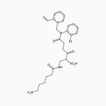 C=Cc1ccccc1CN(C(=O)CCC(=O)C(CNC(=O)CCCCCN)S(=O)(=O)O)c1ccccc1CC